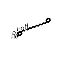 CCc1cc(C(O)CNCCCCCCCCCCCc2ccccc2)ccc1O